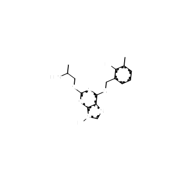 CCn1cnc2c(NCc3cccc(C)c3O)nc(NCC(C)N)nc21